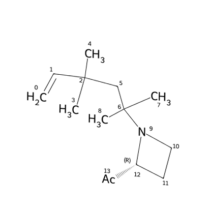 C=CC(C)(C)CC(C)(C)N1CC[C@@H]1C(C)=O